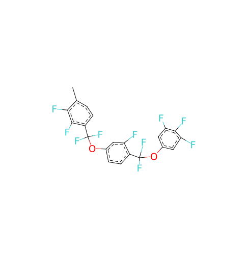 Cc1ccc(C(F)(F)Oc2ccc(C(F)(F)Oc3cc(F)c(F)c(F)c3)c(F)c2)c(F)c1F